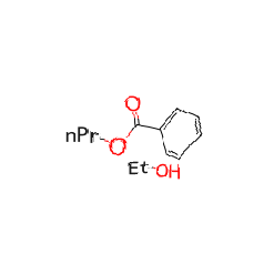 CCCOC(=O)c1ccccc1.CCO